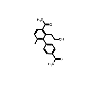 Cc1ccc(C(N)=O)c(CCO)c1-c1ccc(C(N)=O)cc1